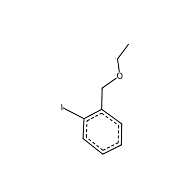 C[CH]OCc1ccccc1I